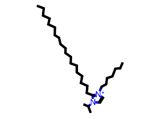 CCCCCCCCCCCCCCCCCCCc1n(C(C)C)cc[n+]1CCCCCCC